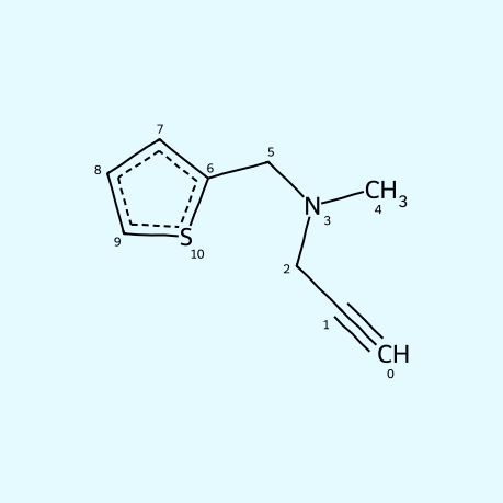 C#CCN(C)Cc1cccs1